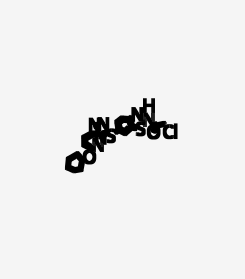 O=C(CCl)Nc1nc2ccc(Sc3nnc4ccc(OC5CCCCC5)nn34)cc2s1